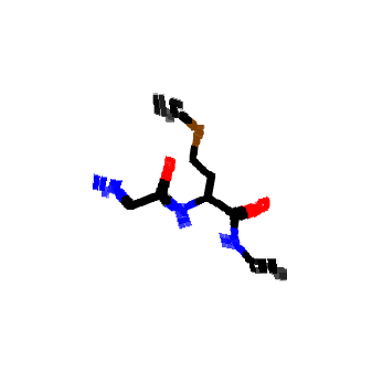 CNC(=O)C(CCSC)NC(=O)CN